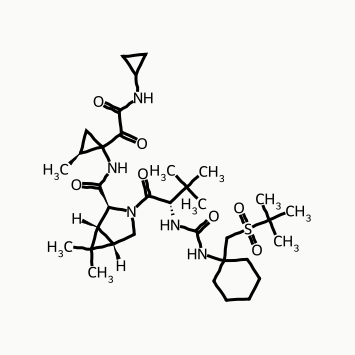 C[C@H]1CC1(NC(=O)[C@@H]1[C@@H]2[C@H](CN1C(=O)[C@@H](NC(=O)NC1(CS(=O)(=O)C(C)(C)C)CCCCC1)C(C)(C)C)C2(C)C)C(=O)C(=O)NC1CC1